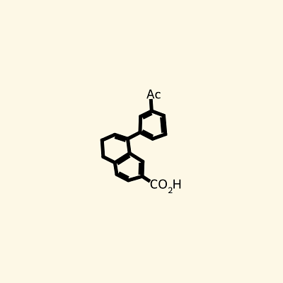 CC(=O)c1cccc(C2=CCCc3ccc(C(=O)O)cc32)c1